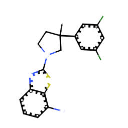 Nc1cccc2nc(N3CCC(c4cc(Cl)cc(Cl)c4)(C(F)(F)F)C3)sc12